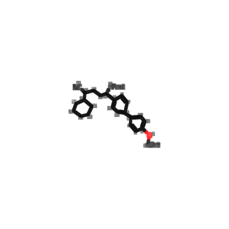 CCCCCCCCOc1ccc(-c2ccc([C@H](CCCCC)CCC(C#N)C3CCCCC3)cc2)cc1